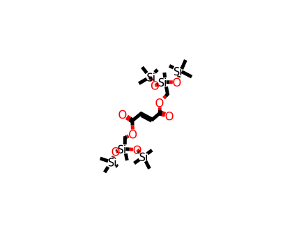 C[Si](C)(C)O[Si](C)(COC(=O)/C=C/C(=O)OC[Si](C)(O[Si](C)(C)C)O[Si](C)(C)C)O[Si](C)(C)C